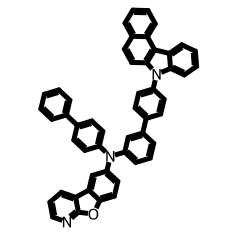 c1ccc(-c2ccc(N(c3cccc(-c4ccc(-n5c6ccccc6c6c7ccccc7ccc65)cc4)c3)c3ccc4oc5ncccc5c4c3)cc2)cc1